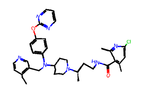 Cc1ccncc1CN(c1ccc(Oc2ncccn2)cc1)C1CCN([C@H](C)CCNC(=O)c2c(C)cc(Cl)nc2C)CC1